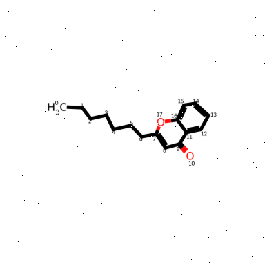 CCCCCCCc1cc(=O)c2ccccc2o1